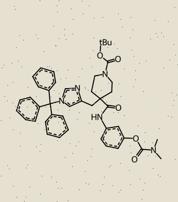 CN(C)C(=O)Oc1cccc(NC(=O)C2(Cc3cn(C(c4ccccc4)(c4ccccc4)c4ccccc4)cn3)CCN(C(=O)OC(C)(C)C)CC2)c1